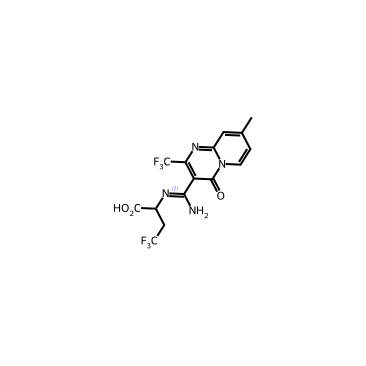 Cc1ccn2c(=O)c(/C(N)=N/C(CC(F)(F)F)C(=O)O)c(C(F)(F)F)nc2c1